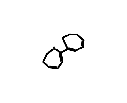 C1=CCCCC(C2=CC=CCCS2)=C1